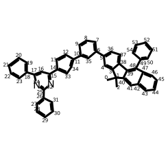 CC1(C)c2cc(-c3cccc(-c4ccc(-c5cc(-c6ccccc6)nc(-c6ccccc6)n5)cc4)c3)ccc2-c2c1cc1ccccc1c2-c1ccccc1